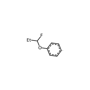 CCC(F)Oc1cc[c]cc1